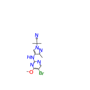 COc1nc(Nc2cn(C(C)(C)C#N)nc2C)ncc1Br